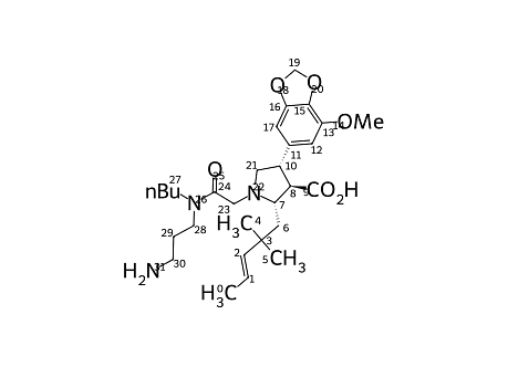 C/C=C/C(C)(C)C[C@H]1[C@H](C(=O)O)[C@@H](c2cc(OC)c3c(c2)OCO3)CN1CC(=O)N(CCCC)CCCN